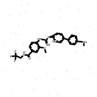 CNc1ccc(-c2cc/c(=N/C(=N)Nc3ccc(C(=O)NCC(F)(F)F)cc3OC)[nH]c2)cc1